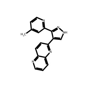 Cc1ccnc(-c2n[nH]cc2-c2ccc3ncccc3n2)c1